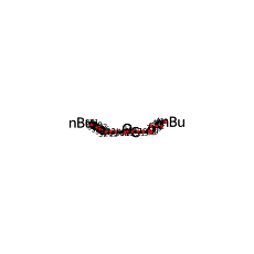 CCCCc1ccc(C2CCC(CCCCCCCC(=O)CCCCCCC[C@H]3CC[C@H](c4ccc(CCCC)cc4)CC3)CC2)cc1